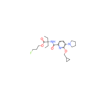 CCC(CC)(NC(=O)c1ccc(N2CCCC2)c(OCC2CC2)n1)C(=O)OCCCF